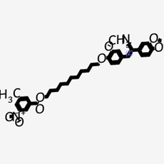 COc1cc(/C=C(\C#N)c2ccc3c(c2)OCO3)ccc1OCCCCCCCCCCCOC(=O)c1cc(C)cc([N+](=O)[O-])c1